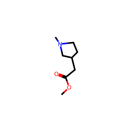 COC(=O)CC1CCN(C)C1